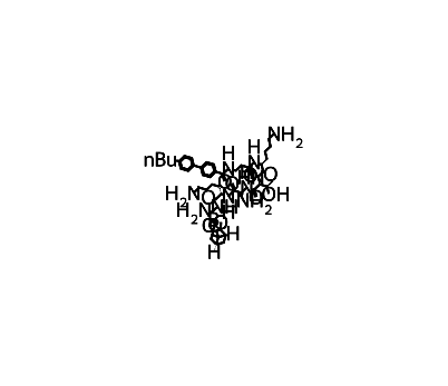 CCCCc1ccc(-c2ccc(C(=O)NCCC(=O)N[C@@H](CCCCN)C(=O)N[C@H](C(=O)N[C@@H](N)C(=O)N[C@@H](CCCCN)C(=O)N[C@@H](N)B3OC4C[C@@H]5C[C@@H](C5(C)C)[C@]4(C)O3)[C@@H](C)O)cc2)cc1